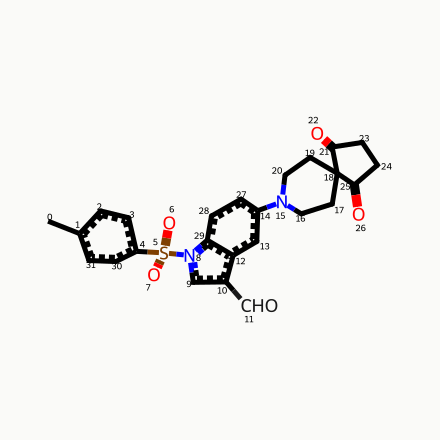 Cc1ccc(S(=O)(=O)n2cc(C=O)c3cc(N4CCC5(CC4)C(=O)CCC5=O)ccc32)cc1